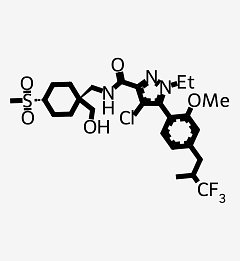 CCn1nc(C(=O)NC[C@]2(CO)CC[C@@H](S(C)(=O)=O)CC2)c(Cl)c1-c1ccc(CC(C)C(F)(F)F)cc1OC